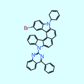 Brc1ccc2c(c1)c1c3c(ccc4c3c3ccccc3n4-c3nc(-c4ccccc4)c4ccccc4n3)ccc1n2C1C=CC=CC1